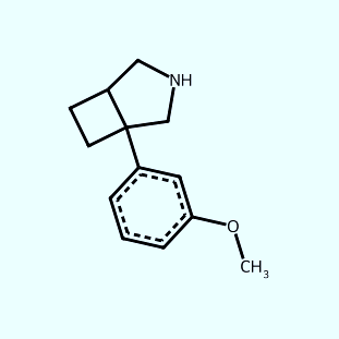 COc1cccc(C23CCC2CNC3)c1